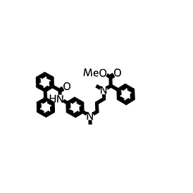 COC(=O)C(c1ccccc1)N(C)CCCN(C)c1ccc(NC(=O)c2ccccc2-c2ccccc2)cc1